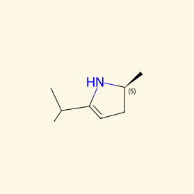 CC(C)C1=CC[C@H](C)N1